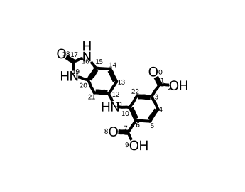 O=C(O)c1ccc(C(=O)O)c(Nc2ccc3[nH]c(=O)[nH]c3c2)c1